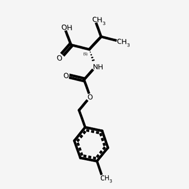 Cc1ccc(COC(=O)N[C@H](C(=O)O)C(C)C)cc1